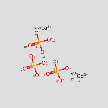 O=P([O-])([O-])[O-].O=P([O-])([O-])[O-].O=P([O-])([O-])[O-].[Gd+3].[La+3].[Y+3]